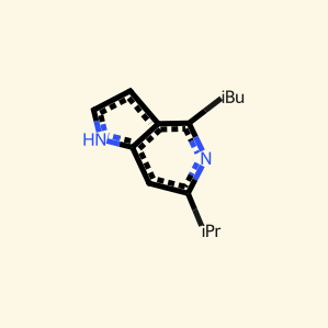 CCC(C)c1nc(C(C)C)cc2[nH]ccc12